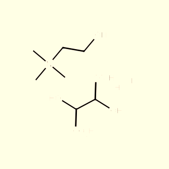 C[N+](C)(C)CCO.O=C(O)C(O)C(O)C(=O)O.[H+].[H+]